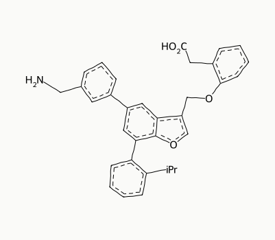 CC(C)c1ccccc1-c1cc(-c2cccc(CN)c2)cc2c(COc3ccccc3CC(=O)O)coc12